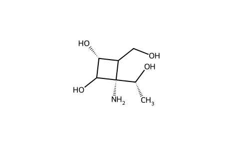 C[C@@H](O)[C@@]1(N)C(O)[C@H](O)C1CO